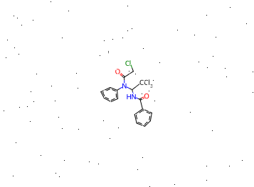 O=C(NC(N(C(=O)CCl)c1ccccc1)C(Cl)(Cl)Cl)c1ccccc1